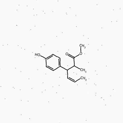 C/C=C\C(c1ccc(O)cc1)C(C)C(=O)OC